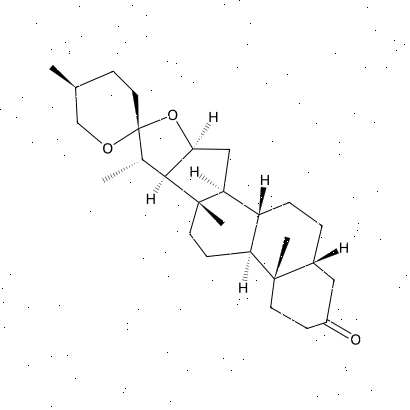 C[C@H]1CC[C@@]2(OC1)O[C@H]1C[C@H]3[C@@H]4CC[C@@H]5CC(=O)CC[C@]5(C)[C@H]4CC[C@]3(C)[C@H]1[C@@H]2C